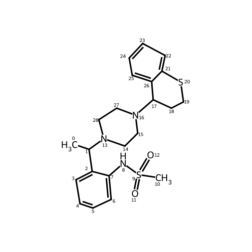 CC(c1ccccc1NS(C)(=O)=O)N1CCN(C2CCSc3ccccc32)CC1